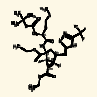 CCOC(=O)[C@H]1[C@H]2[C@@H]1[C@](NC(=O)[C@H](CCSC)NC(=O)OC(C)(C)C)(C(=O)OCC)C[C@H]2Sc1nnc(C(F)(F)F)[nH]1